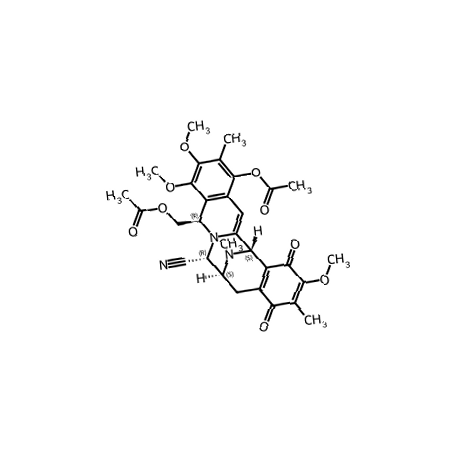 COC1=C(C)C(=O)C2=C(C1=O)[C@H]1C3=Cc4c(OC(C)=O)c(C)c(OC)c(OC)c4[C@H](COC(C)=O)N3[C@@H](C#N)[C@H](C2)N1C